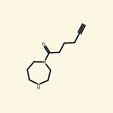 C#CCCCC(=O)N1CCCNCC1